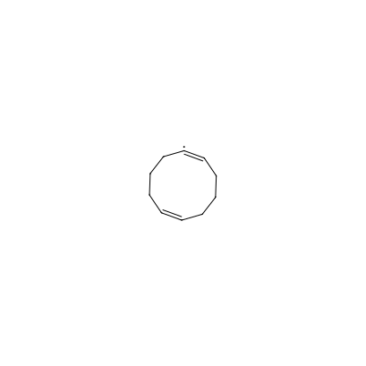 [C]1=C\CCC/C=C\CCC/1